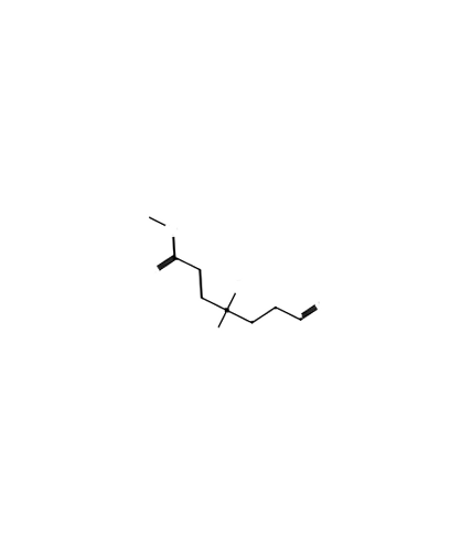 COC(=O)CCC(F)(F)CCC=O